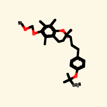 CCOCOc1c(C)c(C)c2c(c1C)CC[C@@](C)(CCCc1ccc(OC(C)(C)C(=O)O)cc1)O2